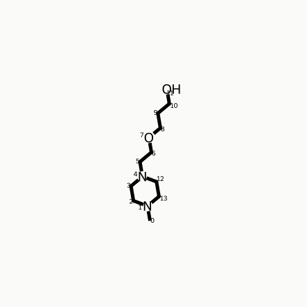 CN1CCN(CCOCCCO)CC1